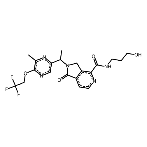 Cc1nc(C(C)N2Cc3c(ccnc3C(=O)NCCCO)C2=O)cnc1OCC(F)(F)F